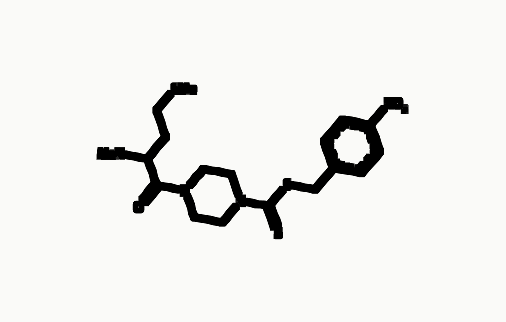 CNC(CCSC)C(=O)N1CCN(C(=S)SCc2ccc([N+](=O)[O-])cc2)CC1